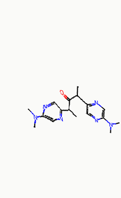 CC(C(=O)C(C)c1cnc(N(C)C)cn1)c1cnc(N(C)C)cn1